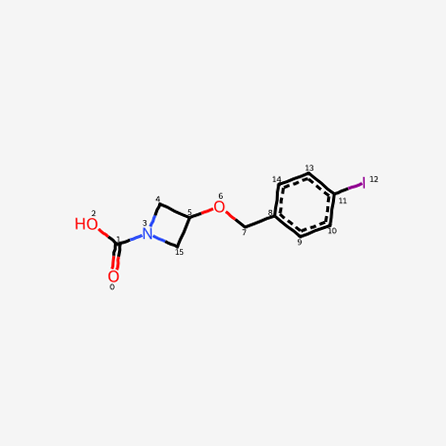 O=C(O)N1CC(OCc2ccc(I)cc2)C1